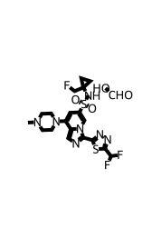 CN1CCN(c2cc(S(=O)(=O)NC3(CF)CC3)cn3c(-c4nnc(C(F)F)s4)ncc23)CC1.O=CO